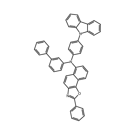 c1ccc(-c2cccc(N(c3ccc(-n4c5ccccc5c5ccccc54)cc3)c3cccc4c3ccc3nc(-c5ccccc5)oc34)c2)cc1